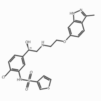 Cc1n[nH]c2cc(OCCNC[C@H](O)c3ccc(Cl)c(NS(=O)(=O)c4ccsc4)c3)ccc12